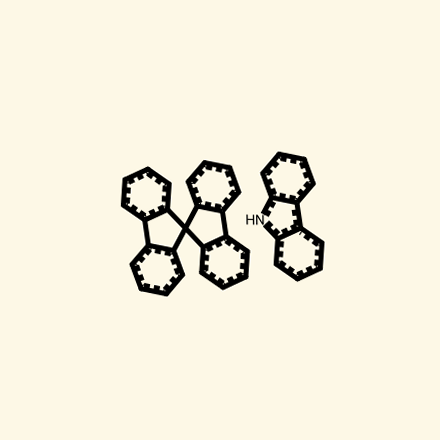 c1ccc2c(c1)-c1ccccc1C21c2ccccc2-c2ccccc21.c1ccc2c(c1)[nH]c1ccccc12